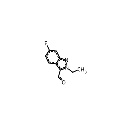 CCn1nc2cc(F)ccc2c1C=O